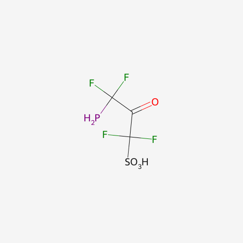 O=C(C(F)(F)P)C(F)(F)S(=O)(=O)O